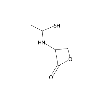 CC(S)NC1COC1=O